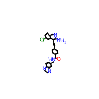 Nc1ncc2ccc(Cl)cc2c1C#Cc1ccc(C(=O)NCc2ccc3nccnc3c2)cc1